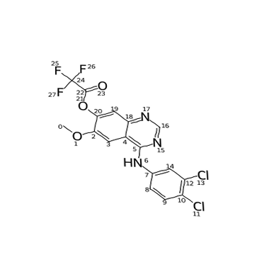 COc1cc2c(Nc3ccc(Cl)c(Cl)c3)ncnc2cc1OC(=O)C(F)(F)F